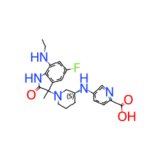 CCNc1cc(F)cc2c1NC(=O)C2(C)N1CCC[C@H](Nc2ccc(C(=O)O)nc2)C1